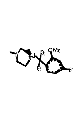 CCC(CC)(c1ccc(Br)cc1OC)N1CCN(C)CC1